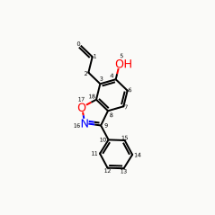 C=CCc1c(O)ccc2c(-c3ccccc3)noc12